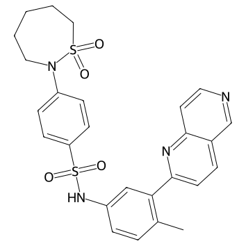 Cc1ccc(NS(=O)(=O)c2ccc(N3CCCCCS3(=O)=O)cc2)cc1-c1ccc2cnccc2n1